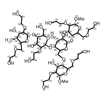 CO[C@@H]1OC(COCCO)[C@@H](OCC2O[C@@H](O[C@H]3C(COCCO)O[C@@H](OC)C(OCCO)[C@H]3O)C(O)[C@@H](O)[C@H]2O[C@@H]2OC(CO)[C@H](O[C@@H]3OC(COCCO)[C@@H](C)[C@H](O)C3OCCO)[C@H](O)C2OCCO)[C@H](O)C1OCCO